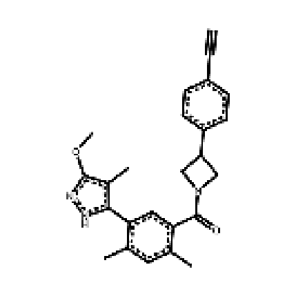 C#Cc1ccc(C2CN(C(=O)c3cc(-c4[nH]nc(OC)c4C)c(C)cc3C)C2)cc1